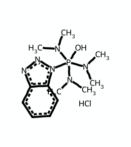 CN(C)P(O)(N(C)C)(N(C)C)n1nnc2ccccc21.Cl